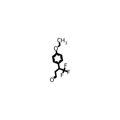 CCOc1ccc(C(CC=O)C(F)(F)F)cc1